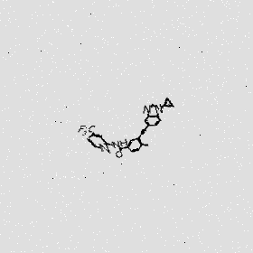 Cc1ccc(C(=O)Nc2cc(C(F)(F)F)ccn2)cc1C#Cc1ccc2c(c1)ncn2C1CC1